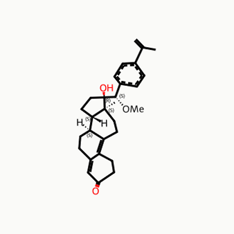 C=C(C)c1ccc([C@H](OC)[C@@]2(O)CC[C@H]3[C@@H]4CCC5=CC(=O)CCC5=C4CC[C@@]32C)cc1